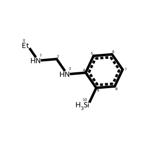 CCNCNc1ccccc1[SiH3]